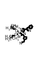 C[Si](C)(C)CCOCN(COCC[Si](C)(C)C)c1c(Br)c(C2CCC(CC#N)C2)nc2c(-c3cnc4ccccc4c3)cnn12